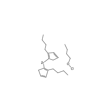 CCCCC1=[C]([Zr][C]2=C(CCCC)C=CC2)CC=C1.CCCCOCl